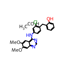 CC(=O)O.COc1cc2ncnc(Nc3ccc(Cc4ccccc4O)c(Cl)c3)c2cc1OC